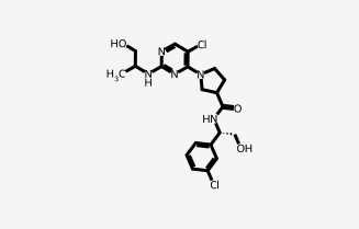 CC(CO)Nc1ncc(Cl)c(N2CCC(C(=O)N[C@H](CO)c3cccc(Cl)c3)C2)n1